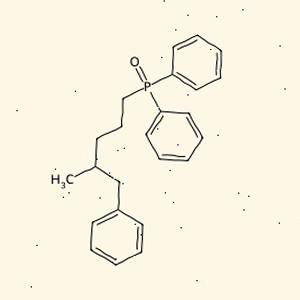 CC(CCCP(=O)(c1ccccc1)c1ccccc1)Cc1ccccc1